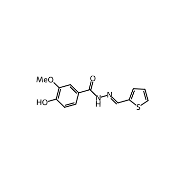 COc1cc(C(=O)N/N=C/c2cccs2)ccc1O